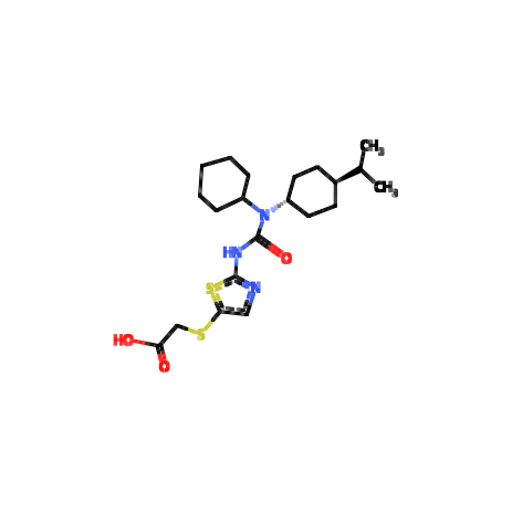 CC(C)[C@H]1CC[C@H](N(C(=O)Nc2ncc(SCC(=O)O)s2)C2CCCCC2)CC1